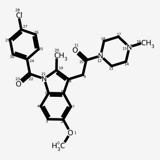 COc1ccc2c(c1)c(CC(=O)N1CCN(C)CC1)c(C)n2C(=O)c1ccc(Cl)cc1